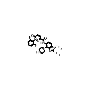 Cc1nc2c(N3CCNCC3)c(NC(=O)c3ccc(=O)n(-c4c(F)cccc4F)n3)ccc2n1C